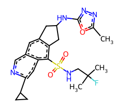 Cc1nnc(NC2Cc3cc4cnc(C5CC5)cc4c(S(=O)(=O)NCC(C)(C)F)c3C2)o1